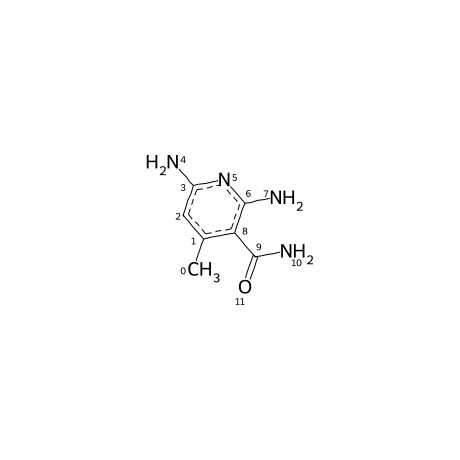 Cc1cc(N)nc(N)c1C(N)=O